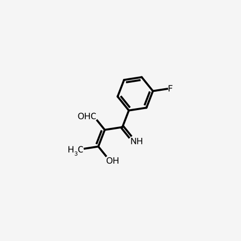 C/C(O)=C(\C=O)C(=N)c1cccc(F)c1